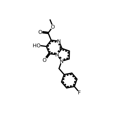 COC(=O)c1nc2ccn(Cc3ccc(F)cc3)n2c(=O)c1O